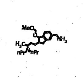 CCCN(CCC)C(C)CCC1Cc2cc(CN)ccc2C1OCOC